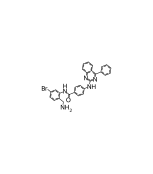 NCc1ccc(Br)cc1NC(=O)c1ccc(Nc2nc(-c3ccccc3)c3ccccc3n2)cc1